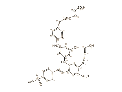 CCCS(=O)(=O)c1ccc(N=Nc2cc(S(=O)(=O)O)c(N=C=C=CO)cc2Nc2nc(Cl)nc(Nc3ccc(SC#COOS(=O)(=O)O)cc3)n2)cc1